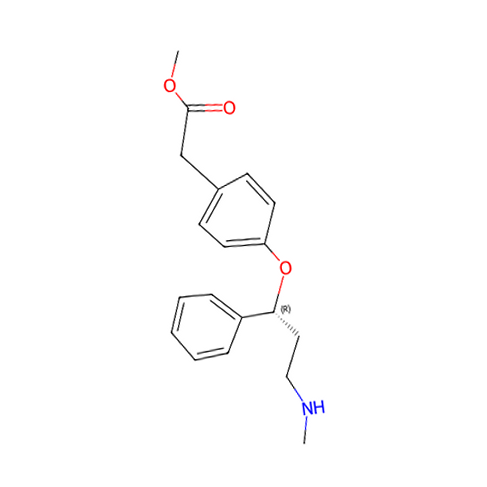 CNCC[C@@H](Oc1ccc(CC(=O)OC)cc1)c1ccccc1